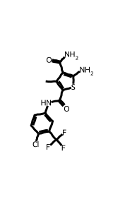 Cc1c(C(=O)Nc2ccc(Cl)c(C(F)(F)F)c2)sc(N)c1C(N)=O